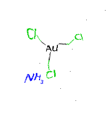 N.[Cl][Au]([Cl])[Cl]